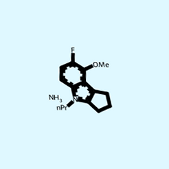 CCCn1c2c(c3c(OC)c(F)ccc31)CCC2.N